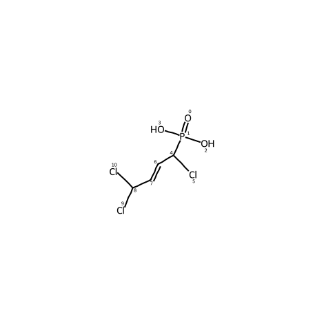 O=P(O)(O)C(Cl)C=CC(Cl)Cl